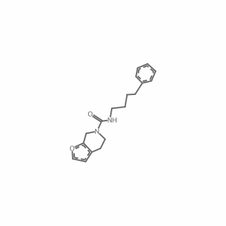 O=C(NCCCCc1ccccc1)N1CCc2ccoc2C1